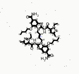 CCCCOc1cc(C(N)=O)cc2nc(NC(=O)c3cc(C)nn3CC)n(C/C=C/Cn3c(NC(=O)c4cc(C)nn4CC)nc4cc(C(N)=O)cc(OCCCC)c43)c12